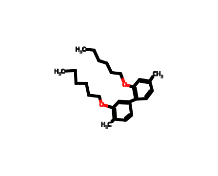 CCCCCCOc1cc(-c2ccc(C)cc2OCCCCCC)ccc1C